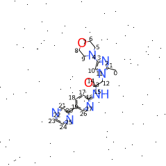 Cc1nc(N2CCOCC2)cn1CC(=O)Nc1ccc(-c2cnccn2)cn1